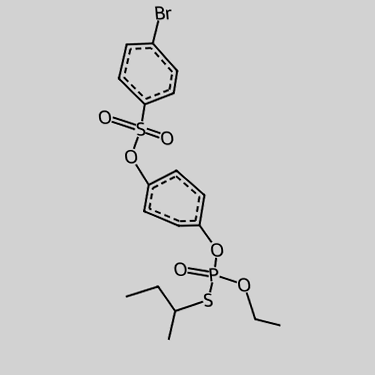 CCOP(=O)(Oc1ccc(OS(=O)(=O)c2ccc(Br)cc2)cc1)SC(C)CC